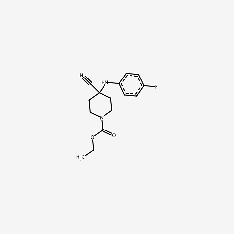 CCOC(=O)N1CCC(C#N)(Nc2ccc(F)cc2)CC1